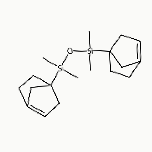 C[Si](C)(O[Si](C)(C)C12CC=C(CC1)C2)C12CC=C(CC1)C2